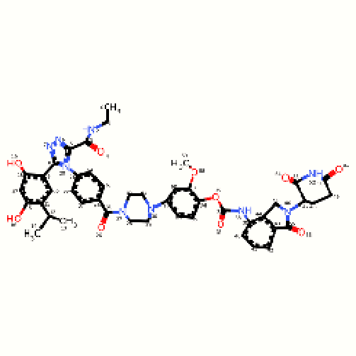 CCNC(=O)c1nnc(-c2cc(C(C)C)c(O)cc2O)n1-c1ccc(C(=O)N2CCN(c3ccc(OC(=O)Nc4cccc5c4CN(C4CCC(=O)NC4=O)C5=O)c(OC)c3)CC2)cc1